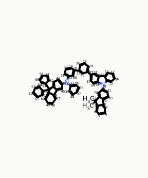 CC1(C)c2ccccc2-c2ccc(-n3c4ccccc4c4cc(-c5cccc(-c6cccc(N(c7ccccc7)c7ccc8c(c7)-c7ccccc7C8(c7ccccc7)c7ccccc7)c6)c5)ccc43)cc21